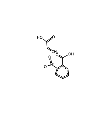 C=CC(=O)O.O=C(O)c1ccccc1[N+](=O)[O-]